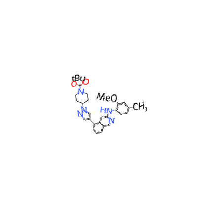 COc1cc(C)ccc1Nc1cc2c(-c3cnn(C4CCN(C(=O)OC(C)(C)C)CC4)c3)cccc2cn1